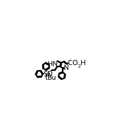 CC(C)(C)[Si](OCCC1NCc2cc(C(=O)O)nc(-c3ccccc3)c21)(c1ccccc1)c1ccccc1